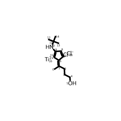 CC(CCCO)=C1C=CC(NC(C)(C)C)=[C]1[Ti+2].[Cl-].[Cl-]